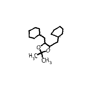 CC1(C)OC(C[C]2CCCCC2)C(C[C]2CCCCC2)O1